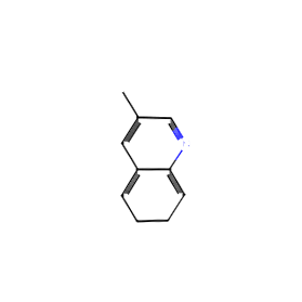 Cc1cnc2c(c1)=CCCC=2